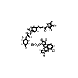 CCC1=C(C)CN(C(=O)NCCc2ccc(S(=O)(=O)NC(=O)NC3CCC(C)CC3)cc2)C1=O.CCOC(=O)n1ccn(C)c1=S.Clc1cccc(Cl)c1N=C1NCCN1